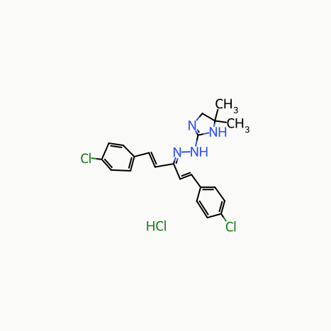 CC1(C)CN=C(NN=C(C=Cc2ccc(Cl)cc2)C=Cc2ccc(Cl)cc2)N1.Cl